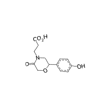 O=C(O)CCN1CC(c2ccc(O)cc2)OCC1=O